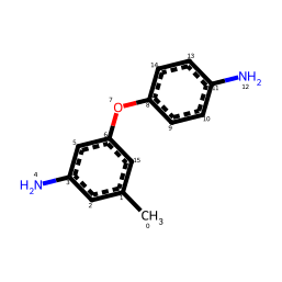 Cc1cc(N)cc(Oc2ccc(N)cc2)c1